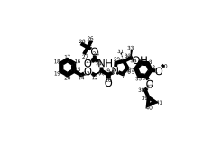 COc1ccc([C@@H]2CN(C(=O)[C@@H](COCc3ccccc3)NC(=O)OC(C)(C)C)C[C@@]2(C)[C@@H](C)O)cc1OCC1CC1